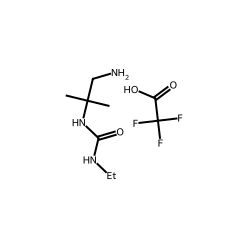 CCNC(=O)NC(C)(C)CN.O=C(O)C(F)(F)F